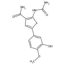 COc1ccc(-c2cc(C(N)=O)c(NC(N)=O)s2)cc1O